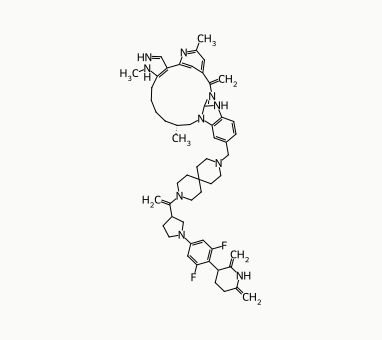 C=C1CCC(c2c(F)cc(N3CCC(C(=C)N4CCC5(CCN(Cc6ccc7c(c6)N6C[C@H](C)CCCC/C(NC)=C(/C=N)c8cc(cc(C)n8)C(=C)/N=C/6N7)CC5)CC4)C3)cc2F)C(=C)N1